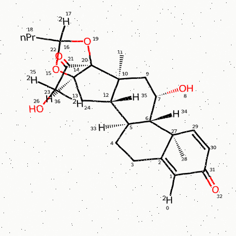 [2H]C1=C2CC[C@@H]3[C@H]([C@@H](O)C[C@@]4(C)[C@H]3C[C@H]3OC([2H])(CCC)O[C@]34C(=O)C([2H])([2H])O)[C@@]2(C)C=CC1=O